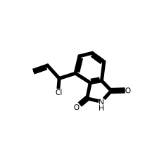 C=CC(Cl)c1cccc2c1C(=O)NC2=O